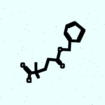 CC(C)(CCC(=O)OCc1ccccc1)C(=O)Cl